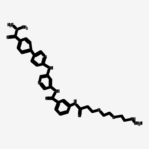 CN(C)C(=O)c1ccc(-c2ccc(Nc3cncc(NC(=O)c4cccc(NC(=O)CCOCCOCCNC(=O)O)c4)c3)nc2)cc1